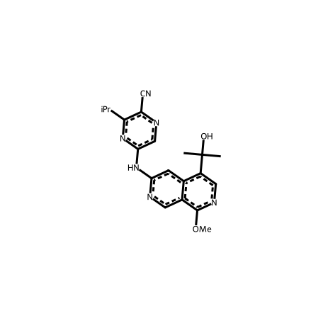 COc1ncc(C(C)(C)O)c2cc(Nc3cnc(C#N)c(C(C)C)n3)ncc12